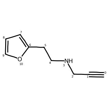 C#CCNCCc1ccco1